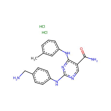 Cc1cccc(Nc2nc(Nc3ccc(CN)cc3)ncc2C(N)=O)c1.Cl.Cl